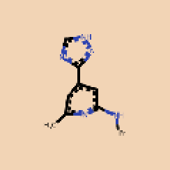 Cc1cc(-c2nc[nH]n2)cc(NC(C)C)n1